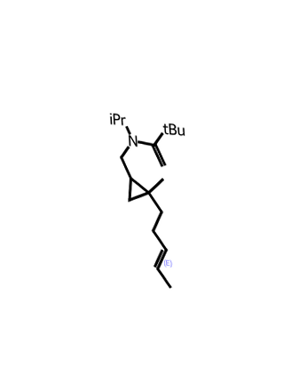 C=C(N(CC1CC1(C)CC/C=C/C)C(C)C)C(C)(C)C